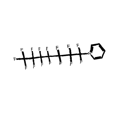 FC(F)(F)C(F)(F)C(F)(F)C(F)(F)C(F)(F)C(F)(F)C(F)(F)[n+]1ccccc1